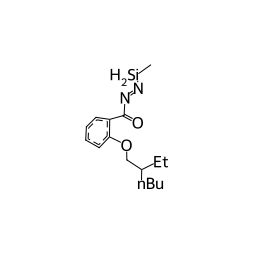 CCCCC(CC)COc1ccccc1C(=O)N=N[SiH2]C